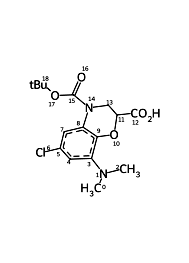 CN(C)c1cc(Cl)cc2c1OC(C(=O)O)CN2C(=O)OC(C)(C)C